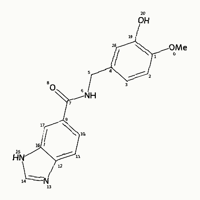 COc1ccc(CNC(=O)c2ccc3nc[nH]c3c2)cc1O